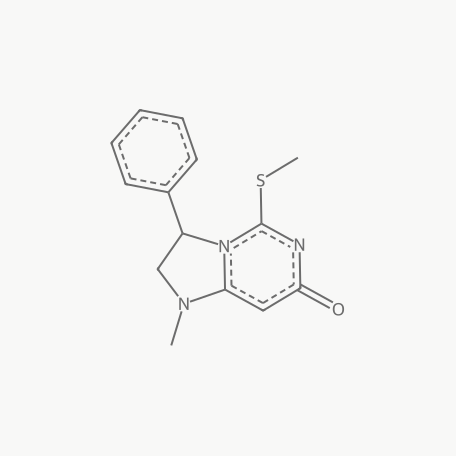 CSc1nc(=O)cc2n1C(c1ccccc1)CN2C